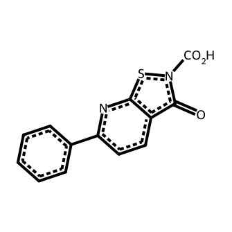 O=C(O)n1sc2nc(-c3ccccc3)ccc2c1=O